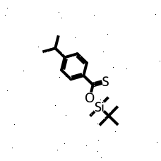 CC(C)c1ccc(C(=S)O[Si](C)(C)C(C)(C)C)cc1